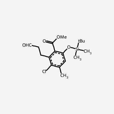 COC(=O)c1c(O[Si](C)(C)C(C)(C)C)cc(C)c(Cl)c1CCC=O